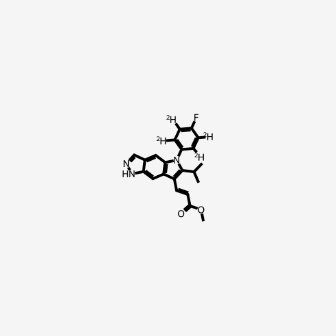 [2H]c1c([2H])c(-n2c(C(C)C)c(/C=C/C(=O)OC)c3cc4[nH]ncc4cc32)c([2H])c([2H])c1F